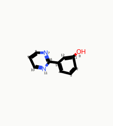 Oc1cccc(-c2n[c]ccn2)c1